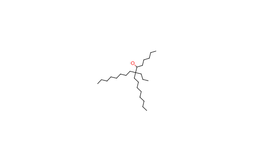 CCCCCCCCC(CCC)(CCCCCCCC)C([O])CCCCC